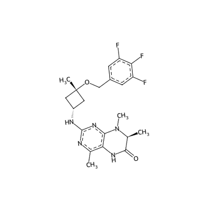 Cc1nc(N[C@H]2C[C@@](C)(OCc3cc(F)c(F)c(F)c3)C2)nc2c1NC(=O)[C@H](C)N2C